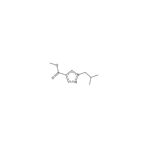 COC(=O)c1cnn(CC(C)C)c1